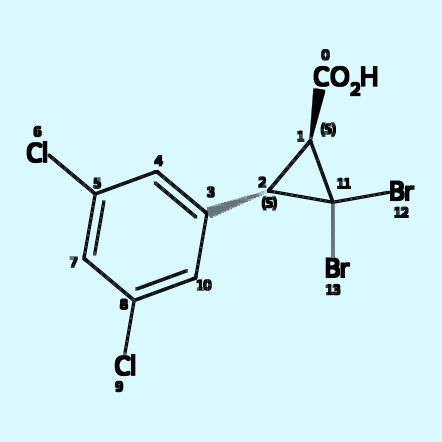 O=C(O)[C@@H]1[C@@H](c2cc(Cl)cc(Cl)c2)C1(Br)Br